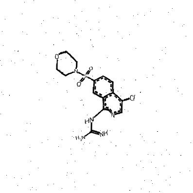 N=C(N)Nc1ncc(Cl)c2ccc(S(=O)(=O)N3CCOCC3)cc12